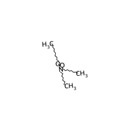 CCCCCCCCCCOC(=O)CN(CCCCCCCC)CCCCCCCC